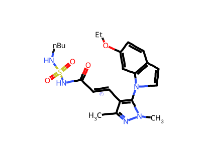 CCCCNS(=O)(=O)NC(=O)/C=C/c1c(C)nn(C)c1-n1ccc2ccc(OCC)cc21